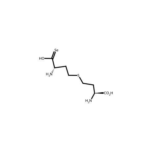 N[C@@H](CCSCC[C@H](N)C(O)=[Se])C(=O)O